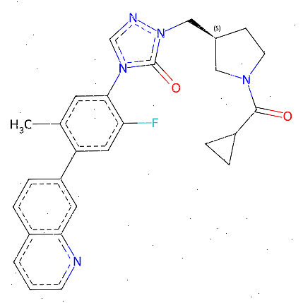 Cc1cc(-n2cnn(C[C@H]3CCN(C(=O)C4CC4)C3)c2=O)c(F)cc1-c1ccc2cccnc2c1